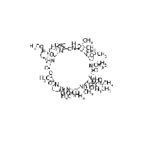 CC[C@H](C)[C@H]1C(=O)NCC(=O)N(C)[C@@H](C(C)C)C(=O)N[C@@H](Cc2ccc(OC)cc2)C(=O)O[C@H](C)C(=O)N2CCCC[C@@H]2C(=O)N(C)[C@H](C(C)C)C(=O)N[C@H](C(C)C)C(=O)N(C)[C@@H](CC(=O)OC(C)(C)C)C(=O)N(C)[C@@H]([C@@H](C)CC)C(=O)N1C